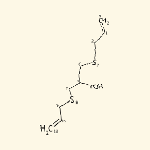 C=CCSCC(O)CSCC=C